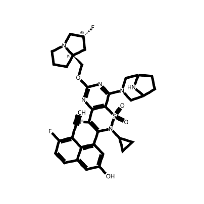 C#Cc1c(F)ccc2cc(O)cc(C3=C(F)c4nc(OC[C@@]56CCCN5C[C@H](F)C6)nc(N5CC6CCC(C5)N6)c4S(=O)(=O)N3C3CC3)c12